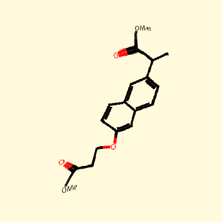 COC(=O)CCOc1ccc2cc(C(C)C(=O)OC)ccc2c1